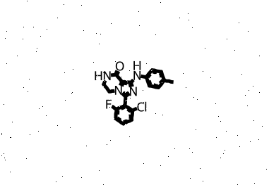 Cc1ccc(Nc2nc(-c3c(F)cccc3Cl)n3c2C(=O)NCC3)cc1